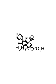 CN1CCN(c2c(F)c(N)c3c(=O)c(OC(=O)O)cn(C4COC4)c3c2F)CC1